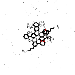 CCCCc1ccc(N2B3C4=C5C(=C=C=C4N(c4ccc(CCCC)cc4C4=CC=CCC4)c4cc(-c6c(C)cccc6C)cc(c43)-c3cc4c(cc32)C(C)(C)CCC4(C)C)C(C)(C)c2ccccc25)cc1